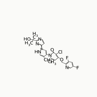 CC1=CN[C@@H](c2ccnc(C(C)(C)O)n2)C=C1n1c(C)cc(OCc2ncc(F)cc2F)c(Cl)c1=O